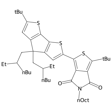 CCCCCCCCN1C(=O)c2c(-c3cc4c(s3)-c3sc(C(C)(C)C)cc3C4(CC(CC)CCCC)CC(CC)CCCC)sc(C(C)(C)C)c2C1=O